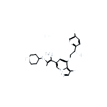 Cc1c(-c2cc(OC[C@@H](O)c3ccc(F)cn3)c3c(Br)cnn3c2)nnn1C1CCNCC1.Cl